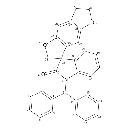 O=C1N(C(c2ccccc2)c2ccccc2)c2ccccc2C12COc1cc3c(cc12)OCC3